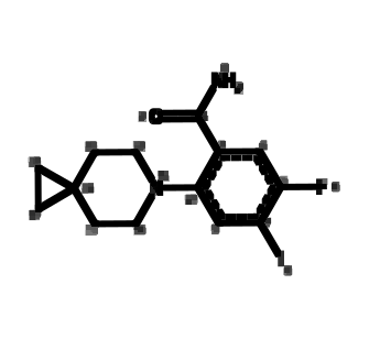 NC(=O)c1cc(F)c(I)cc1N1CCC2(CC1)CC2